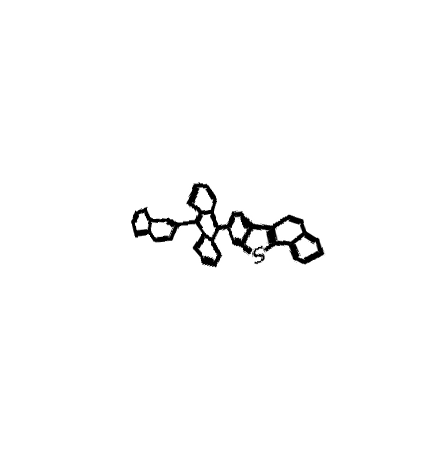 c1ccc2cc(-c3c4ccccc4c(-c4ccc5c(c4)sc4c6ccccc6ccc54)c4ccccc34)ccc2c1